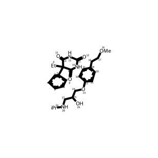 CCC1(c2ccccc2)C(=O)NC(=O)NC1=O.COCCc1ccc(OCC(O)CNC(C)C)cc1